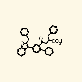 O=C(CC(Cc1ccccc1)C(=O)O)c1cc(-c2c(Cc3ccccc3)oc3ccccc23)ccc1-c1ccccc1